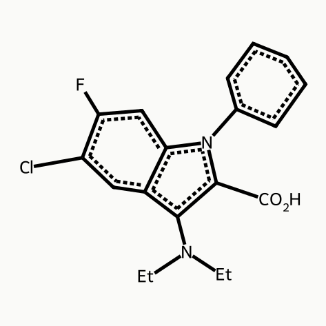 CCN(CC)c1c(C(=O)O)n(-c2ccccc2)c2cc(F)c(Cl)cc12